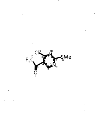 CSc1ncc(C(=O)C(F)(F)F)c(Cl)n1